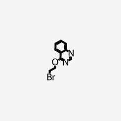 BrCCOc1ncnc2ccccc12